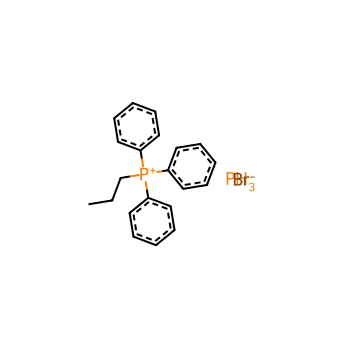 CCC[P+](c1ccccc1)(c1ccccc1)c1ccccc1.P.[Br-]